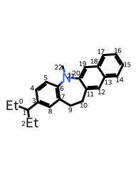 CCC(CC)c1ccc2c(c1)CCc1cc3ccccc3cc1N2C